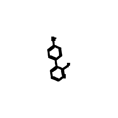 Fc1ncccc1-c1ccc(Br)cc1